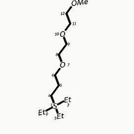 CCS(CC)(CC)CCCOCCOCCOC